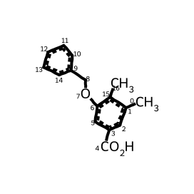 Cc1cc(C(=O)O)cc(OCc2ccccc2)c1C